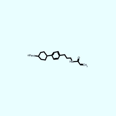 C=CC(=O)NCCCc1ccc(C2CCC(CCCCC)CC2)cc1